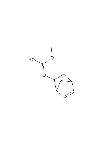 COP(O)OC1CC2C=CC1C2